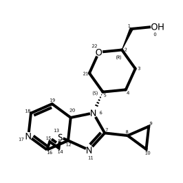 OC[C@H]1CC[C@H](N2C(C3CC3)=NC34SC=CC3=NC=CC24)CO1